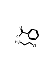 NCCCl.O=C(Cl)c1ccccc1